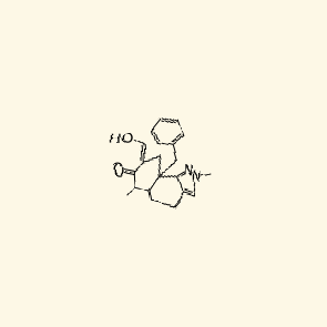 CC1C(=O)C(=CO)CC2(Cc3ccccc3)c3nn(C)cc3CCC12